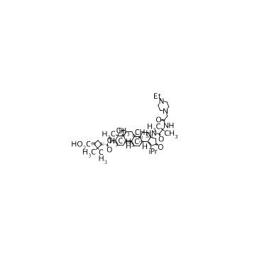 CCN1CCN(CC(=O)NC(C)(C)C(=O)N[C@@]23CC[C@]4(C)[C@H](CC[C@@H]5[C@@]6(C)CC[C@H](OC(=O)[C@H]7C[C@@H](C(=O)O)C7(C)C)C(C)(C)[C@@H]6CC[C@]54C)C2=C(C(C)C)C(=O)C3)CC1